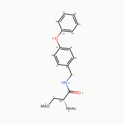 COC[C@@H](NC(C)=O)C(=O)NCc1ccc(Oc2ccccc2)cc1